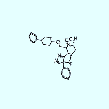 O=C(O)N1CCC[C@@H](C2=NN=CC2(c2ccccc2)C(F)F)[C@H]1COC1CCC(c2ccccc2)CC1